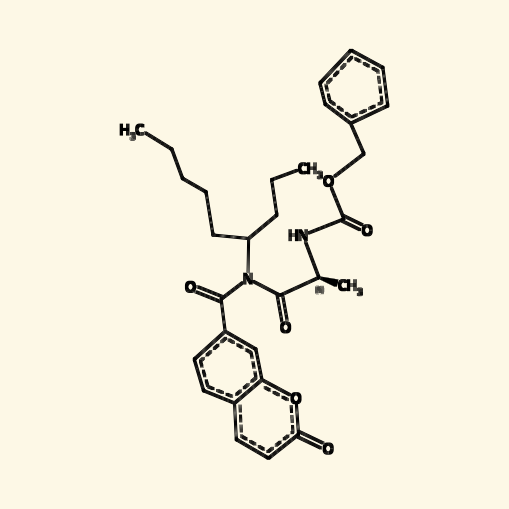 CCCCCC(CCC)N(C(=O)c1ccc2ccc(=O)oc2c1)C(=O)[C@H](C)NC(=O)OCc1ccccc1